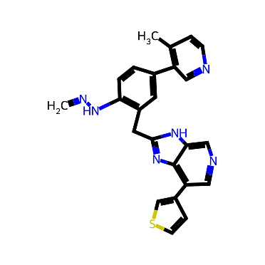 C=NNc1ccc(-c2cnccc2C)cc1Cc1nc2c(-c3ccsc3)cncc2[nH]1